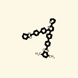 Cc1ccc(C)c2oc(-c3ccc(-c4ccc(-c5ccc(-c6ccccn6)nc5-c5ccc(-c6ccc(-c7nc8ccccc8o7)cc6)cc5)cc4)cc3)nc12